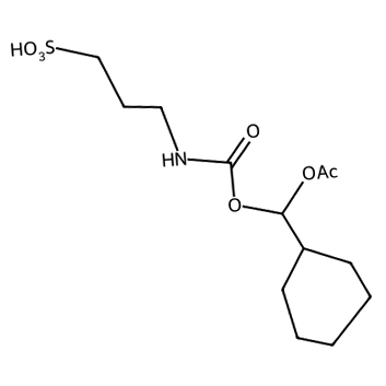 CC(=O)OC(OC(=O)NCCCS(=O)(=O)O)C1CCCCC1